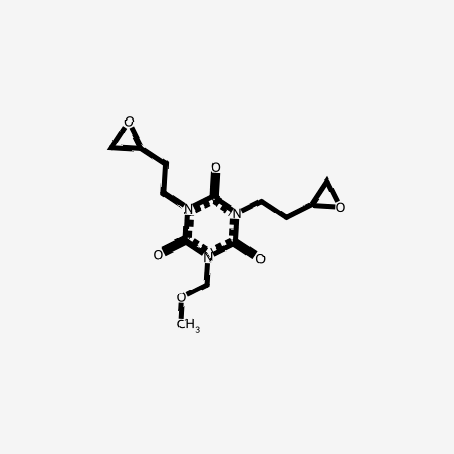 COCn1c(=O)n(CCC2CO2)c(=O)n(CCC2CO2)c1=O